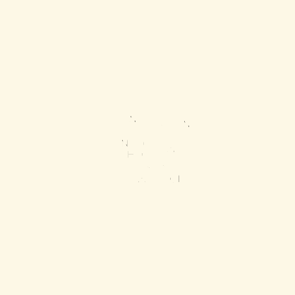 Cc1noc(C23CCN(CC2)C3)n1.O=C(O)C(=O)O